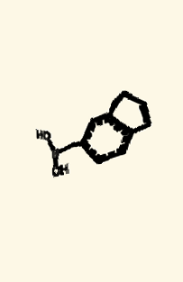 OB(O)c1ccc2c(c1)CC=C2